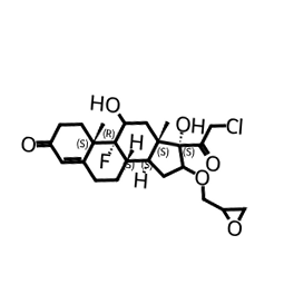 C[C@]12CCC(=O)C=C1CC[C@H]1[C@@H]3CC(OCC4CO4)[C@](O)(C(=O)CCl)[C@@]3(C)CC(O)[C@@]12F